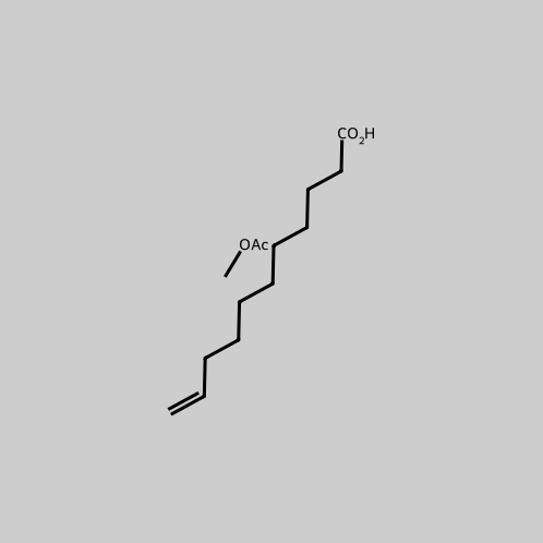 C=CCCCCCCCCC(=O)O.COC(C)=O